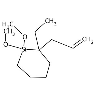 C=CCC1(CC)CCCC[Si]1(OC)OC